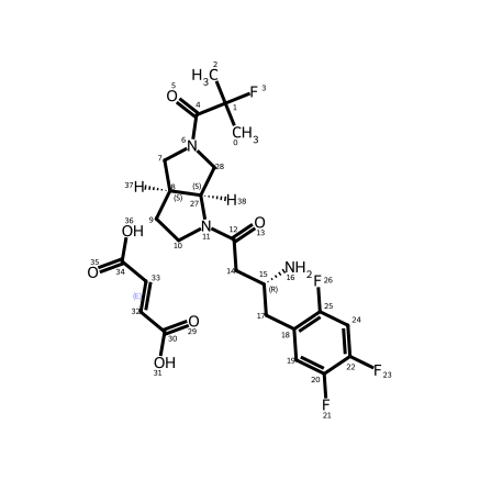 CC(C)(F)C(=O)N1C[C@@H]2CCN(C(=O)C[C@H](N)Cc3cc(F)c(F)cc3F)[C@@H]2C1.O=C(O)/C=C/C(=O)O